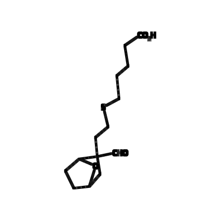 O=CC1(CCSCCCCC(=O)O)CC2CCC1O2